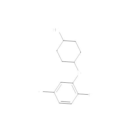 OC1CCC(Oc2cc(Cl)ccc2Br)CC1